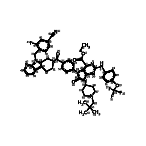 CCOC(=O)c1nc(Nc2ccc(OC(F)(F)F)cc2)nc2c1n(-c1ccc(C(=O)N3CCc4c(n(Cc5ccc(C#N)cc5F)c5ncccc45)C3)cc1)c(=O)n2C1CCN(CC(C)(C)C)CC1